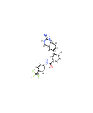 Cc1ccc(C(=O)Nc2ccc(C(F)(F)F)cc2)cc1-c1ccc2nc(N)ncc2c1